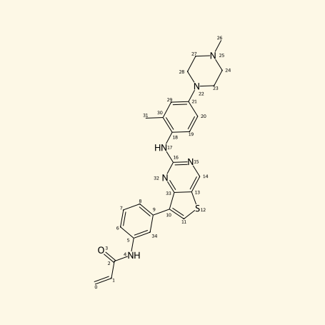 C=CC(=O)Nc1cccc(-c2csc3cnc(Nc4ccc(N5CCN(C)CC5)cc4C)nc23)c1